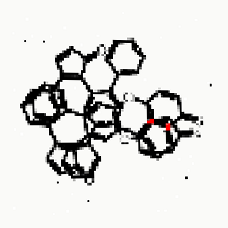 O=C1C=CC(c2cccc(C3=C(c4cc(-c5ccccc5)c(OC5=CCC(=S)C=C5)cc4-c4ccccc4)C(=O)C=C3)c2)=C1c1cc(-c2ccccc2)c(OC2=CCC(=S)C=C2)cc1-c1ccccc1